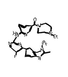 CCN1CCN(C(=O)c2ccc(Nc3ncc(F)c(-c4ccc5nc(C)n(C(C)C)c5c4)n3)nc2)CC1